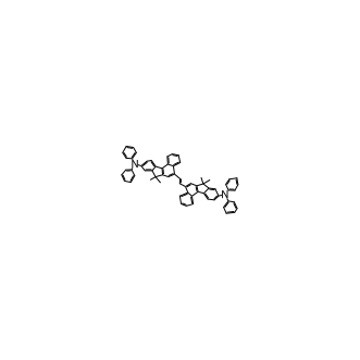 CC1(C)c2cc(N(c3ccccc3)c3ccccc3)ccc2-c2c1cc(/C=C/c1cc3c(c4ccccc14)-c1ccc(N(c4ccccc4)c4ccccc4)cc1C3(C)C)c1ccccc21